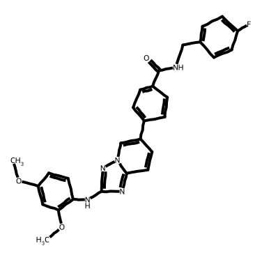 COc1ccc(Nc2nc3ccc(-c4ccc(C(=O)NCc5ccc(F)cc5)cc4)cn3n2)c(OC)c1